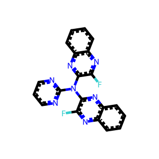 Fc1nc2ccccc2nc1N(c1ncccn1)c1nc2ccccc2nc1F